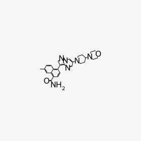 Cc1ccc2c(-c3cnn4cc(N5CCC(N6CCOCC6)CC5)cnc34)ccc(C(N)=O)c2c1